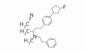 CC#N.CC(CCc1ccc(C2CCC(F)C2)cc1)N(C)CCc1ccccc1